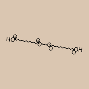 O=C(O)CCCCCCCCCCCC(=O)OCCCCOC(=O)CCCCCCCCCCCC(=O)O